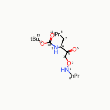 CCCNOCC(=O)[C@H](CC(C)C)NC(=O)OC(C)(C)C